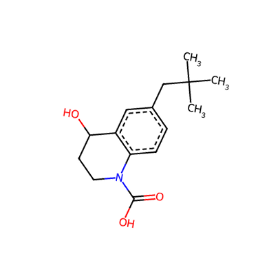 CC(C)(C)Cc1ccc2c(c1)C(O)CCN2C(=O)O